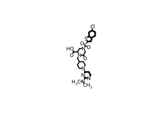 CN(C)c1nccc(N2CCC(CN3C(=O)CN(S(=O)(=O)c4cc5ccc(Cl)cc5s4)CC3C(=O)O)CC2)n1